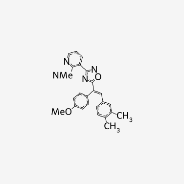 CNc1ncccc1-c1noc(/C(=C/c2ccc(C)c(C)c2)c2ccc(OC)cc2)n1